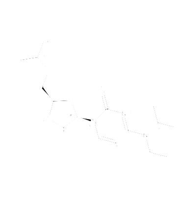 CCN(c1ccn([C@H]2CS[C@@H](COC(C)C)O2)c(=O)n1)C(C)C